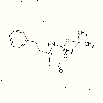 CC(C)(C)OC(=O)N[C@@H](CC=O)CCc1ccccc1